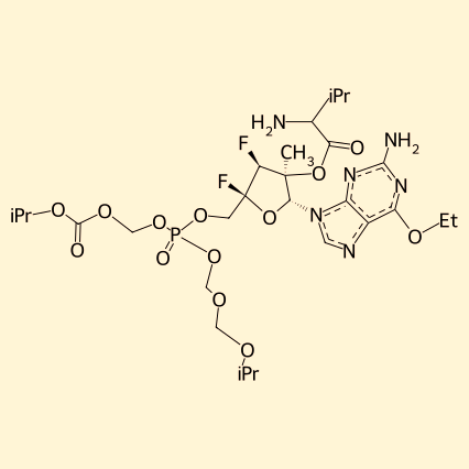 CCOc1nc(N)nc2c1ncn2[C@@H]1O[C@](F)(COP(=O)(OCOCOC(C)C)OCOC(=O)OC(C)C)[C@@H](F)[C@@]1(C)OC(=O)C(N)C(C)C